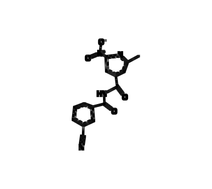 Cc1cc(C(=O)NC(=O)c2cccc(C#N)c2)cc([N+](=O)[O-])n1